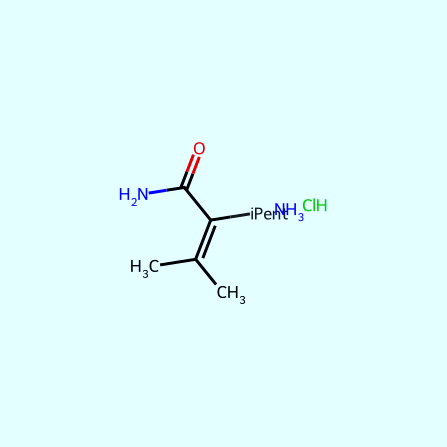 CCCC(C)C(C(N)=O)=C(C)C.Cl.N